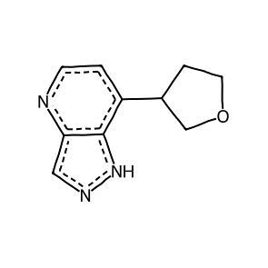 c1cc(C2CCOC2)c2[nH]ncc2n1